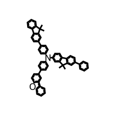 CC1(C)c2ccccc2-c2ccc(-c3ccc(N(c4ccc(-c5ccc6oc7ccccc7c6c5)cc4)c4ccc5c(c4)C(C)(C)c4cc(-c6ccccc6)ccc4-5)cc3)cc21